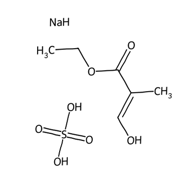 CCOC(=O)C(C)=CO.O=S(=O)(O)O.[NaH]